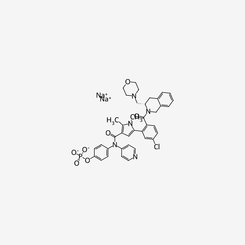 Cc1c(C(=O)N(c2ccncc2)c2ccc(OP(=O)([O-])[O-])cc2)cc(-c2cc(Cl)ccc2C(=O)N2Cc3ccccc3C[C@H]2CN2CCOCC2)n1C.[Na+].[Na+]